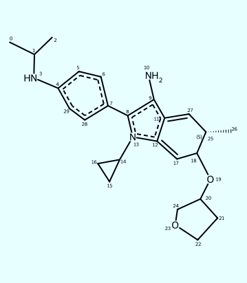 CC(C)Nc1ccc(-c2c(N)c3c(n2C2CC2)=CC(OC2CCOC2)[C@@H](C)C=3)cc1